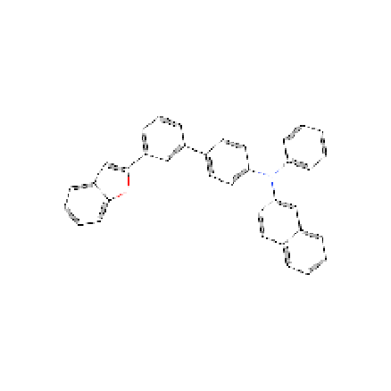 c1ccc(N(c2ccc(-c3cccc(-c4cc5ccccc5o4)c3)cc2)c2ccc3ccccc3c2)cc1